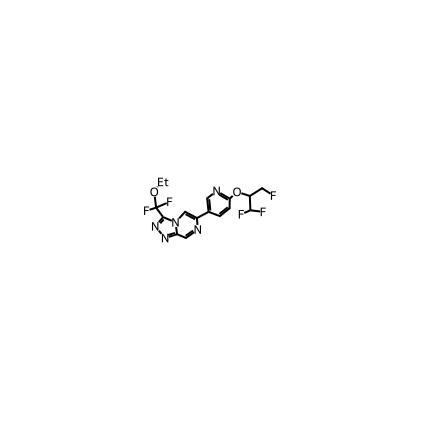 CCOC(F)(F)c1nnc2cnc(-c3ccc(OC(CF)C(F)F)nc3)cn12